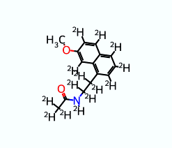 [2H]c1c([2H])c(C([2H])([2H])C([2H])([2H])N([2H])C(=O)C([2H])([2H])[2H])c2c([2H])c(OC)c([2H])c([2H])c2c1[2H]